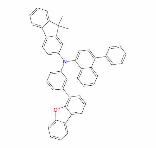 CC1(C)c2ccccc2-c2ccc(N(c3cccc(-c4cccc5c4oc4ccccc45)c3)c3ccc(-c4ccccc4)c4ccccc34)cc21